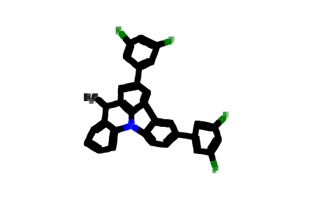 CC1c2ccccc2-n2c3ccc(-c4cc(F)cc(F)c4)cc3c3cc(-c4cc(F)cc(F)c4)cc1c32